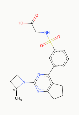 C[C@H]1CCN1c1nc2c(c(-c3cccc(S(=O)(=O)NCC(=O)O)c3)n1)CCC2